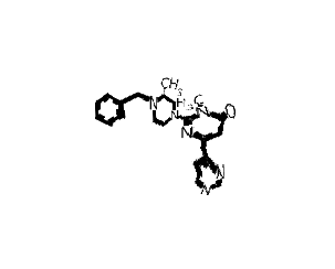 C[C@@H]1CN(c2nc(-c3ccncn3)cc(=O)n2C)CCN1Cc1ccccc1